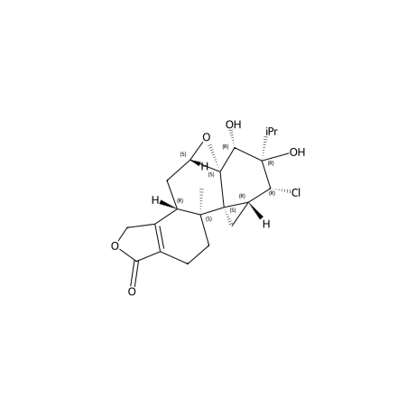 CC(C)[C@]1(O)[C@H](Cl)[C@@H]2C[C@]23[C@]2(O[C@H]2C[C@H]2C4=C(CC[C@@]23C)C(=O)OC4)[C@@H]1O